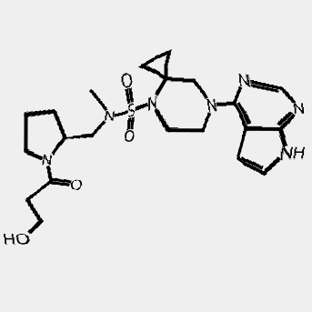 CN(C[C@@H]1CCCN1C(=O)CCO)S(=O)(=O)N1CCN(c2ncnc3[nH]ccc23)CC12CC2